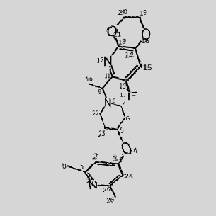 Cc1cc(OC2CCN(C(C)c3nc4c(cc3F)OCCO4)CC2)cc(C)n1